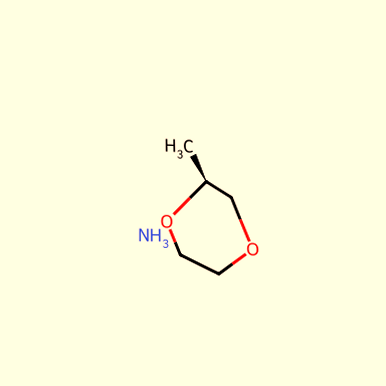 C[C@H]1COCCO1.N